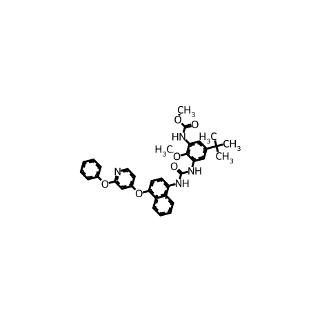 COC(=O)Nc1cc(C(C)(C)C)cc(NC(=O)Nc2ccc(Oc3ccnc(Oc4ccccc4)c3)c3ccccc23)c1OC